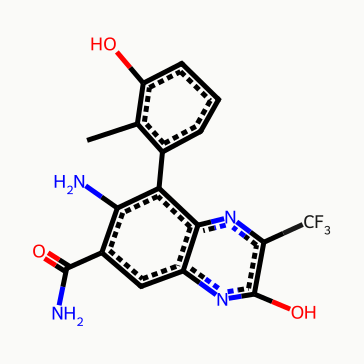 Cc1c(O)cccc1-c1c(N)c(C(N)=O)cc2nc(O)c(C(F)(F)F)nc12